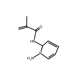 C=C(C)C(=O)NC1C=CC=CN1N